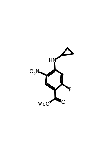 COC(=O)c1cc([N+](=O)[O-])c(NC2CC2)cc1F